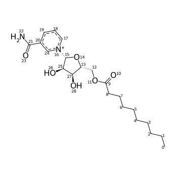 CCCCCCCCCC(=O)OC[C@H]1O[C@@H]([n+]2cccc(C(N)=O)c2)[C@H](O)[C@@H]1O